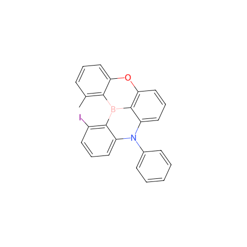 Cc1cccc2c1B1c3c(I)cccc3N(c3ccccc3)c3cccc(c31)O2